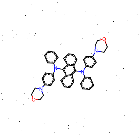 c1ccc(N(c2ccc(N3CCOCC3)cc2)c2c3ccccc3c(N(c3ccccc3)c3ccc(N4CCOCC4)cc3)c3ccccc23)cc1